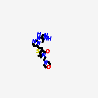 Cc1[nH]ncc1Nc1nccc(-c2cc3c(s2)C(C)(C)N(CCN2CCOCC2)C3=O)n1